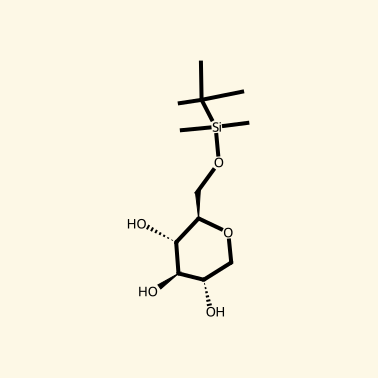 CC(C)(C)[Si](C)(C)OC[C@H]1OC[C@H](O)[C@@H](O)[C@@H]1O